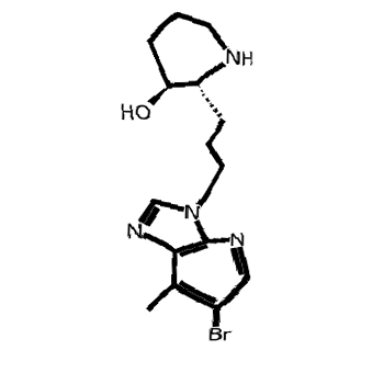 Cc1c(Br)cnc2c1ncn2CCC[C@H]1NCCC[C@@H]1O